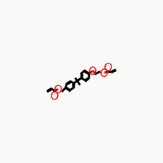 C=CC(=O)OCCOc1ccc(C(C)(C)c2ccc(COC(=O)C=C)cc2)cc1